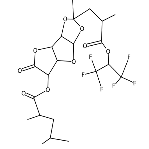 CC(C)CC(C)C(=O)OC1C(=O)OC2C3OC(C)(CC(C)C(=O)OC(C(F)(F)F)C(F)(F)F)OC3OC12